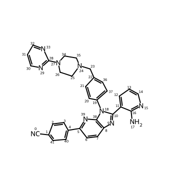 N#Cc1ccc(-c2ccc3nc(-c4cccnc4N)n(-c4ccc(CN5CCN(c6ncccn6)CC5)cc4)c3n2)cc1